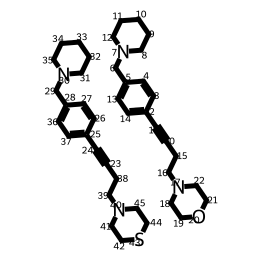 C(#Cc1ccc(CN2CCCCC2)cc1)CCN1CCOCC1.C(#Cc1ccc(CN2CCCCC2)cc1)CCN1CCSCC1